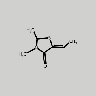 C/C=C1\SC(C)N(C)C1=O